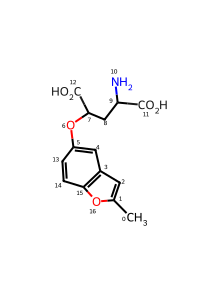 Cc1cc2cc(OC(CC(N)C(=O)O)C(=O)O)ccc2o1